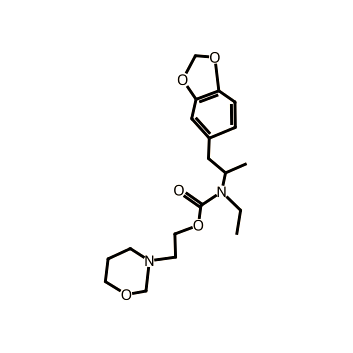 CCN(C(=O)OCCN1CCCOC1)C(C)Cc1ccc2c(c1)OCO2